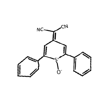 N#CC(C#N)=C1C=C(c2ccccc2)[S+]([O-])C(c2ccccc2)=C1